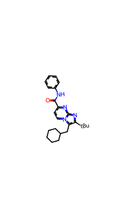 CC(C)(C)c1nc2nc(C(=O)Nc3ccccc3)ccn2c1CC1CCCCC1